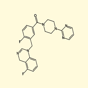 O=C(c1ccc(F)c(CN2C=NCc3c(F)cccc32)c1)N1CCN(c2ncccn2)CC1